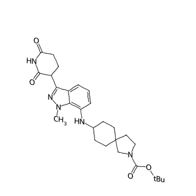 Cn1nc(C2CCC(=O)NC2=O)c2cccc(NC3CCC4(CC3)CCN(C(=O)OC(C)(C)C)C4)c21